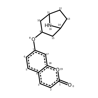 O=c1ccc2ccc(OC3CC4CCC(C3)N4)cc2o1